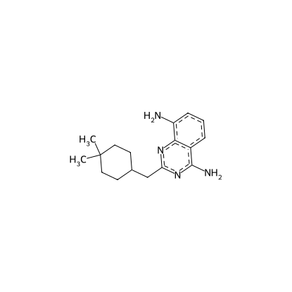 CC1(C)CCC(Cc2nc(N)c3cccc(N)c3n2)CC1